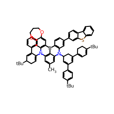 Cc1cc2c3c(c1)N(C1C=C(c4ccc(C(C)(C)C)cc4)C=C(C4=CC=C(C(C)(C)C)CC4)C1)c1cc(-c4ccc5c(c4)sc4ccccc45)ccc1B3c1cc3c(cc1N2C1=CCC(C(C)(C)C)C=C1c1ccccc1)OCCCO3